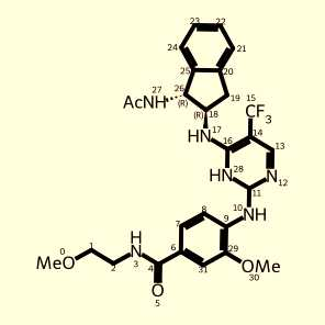 COCCNC(=O)c1ccc(NC2N=CC(C(F)(F)F)=C(N[C@@H]3Cc4ccccc4[C@H]3NC(C)=O)N2)c(OC)c1